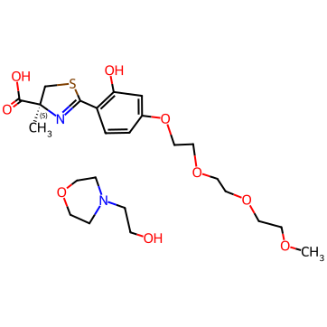 COCCOCCOCCOc1ccc(C2=N[C@@](C)(C(=O)O)CS2)c(O)c1.OCCN1CCOCC1